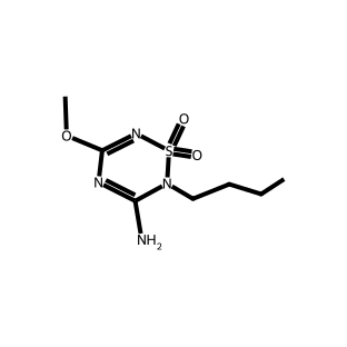 CCCCN1C(N)=NC(OC)=NS1(=O)=O